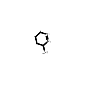 SC1CCCN=N1